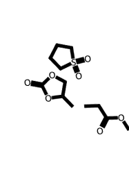 CC1COC(=O)O1.CCC(=O)OC.O=S1(=O)CCCC1